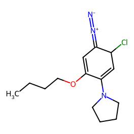 CCCCOC1=CC(=[N+]=[N-])C(Cl)C=C1N1CCCC1